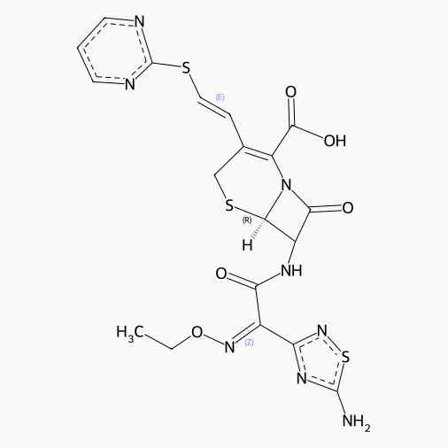 CCO/N=C(\C(=O)NC1C(=O)N2C(C(=O)O)=C(/C=C/Sc3ncccn3)CS[C@H]12)c1nsc(N)n1